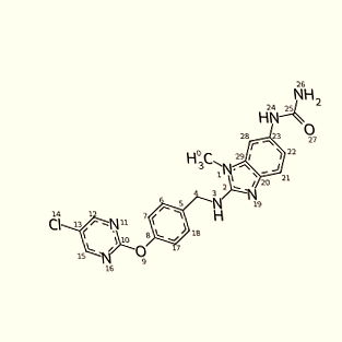 Cn1c(NCc2ccc(Oc3ncc(Cl)cn3)cc2)nc2ccc(NC(N)=O)cc21